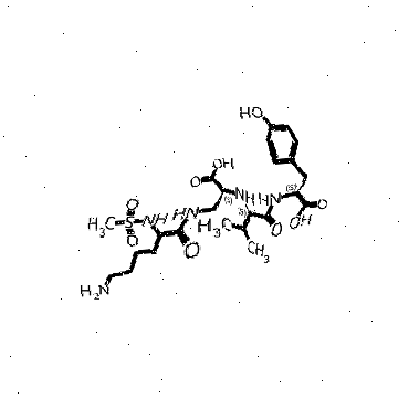 CC(C)[C@H](N[C@@H](CNC(=O)C(CCCCN)NS(C)(=O)=O)C(=O)O)C(=O)N[C@@H](Cc1ccc(O)cc1)C(=O)O